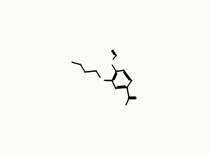 O=COc1ccc(C(=O)O)cc1OCCCCl